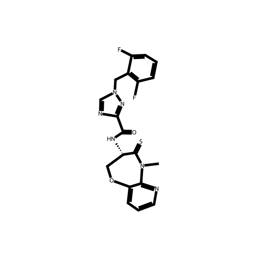 CN1C(=S)[C@@H](NC(=O)c2ncn(Cc3c(F)cccc3F)n2)COc2cccnc21